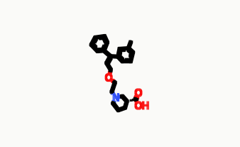 Cc1cccc(/C(=C\COCCN2CCC[C@@H](C(=O)O)C2)c2ccccc2)c1